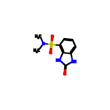 CN(C)S(=O)(=O)c1cccc2[nH]c(=O)[nH]c12